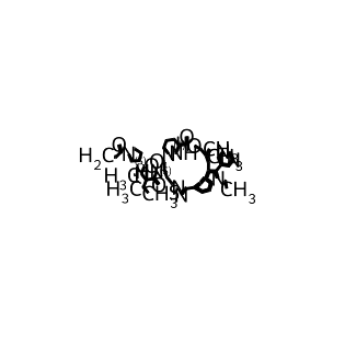 C=CC(=O)N1CC[C@H](C(=O)N(C)C(C(=O)N[C@H]2Cc3nc(ns3)-c3ccc4c(c3)c(c(-c3cncnc3)n4CC)CC(C)(C)COC(=O)[C@@H]3CCCN(N3)C2=O)C(C)C)C1